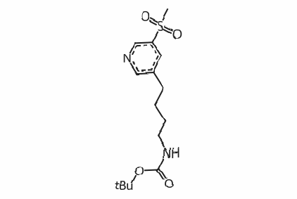 CC(C)(C)OC(=O)NCCCCc1cncc(S(C)(=O)=O)c1